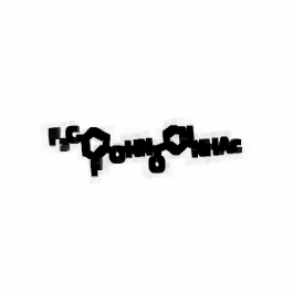 CC(=O)Nc1cc(C(=O)NCCOc2ccc(C(F)(F)F)cc2F)ccn1